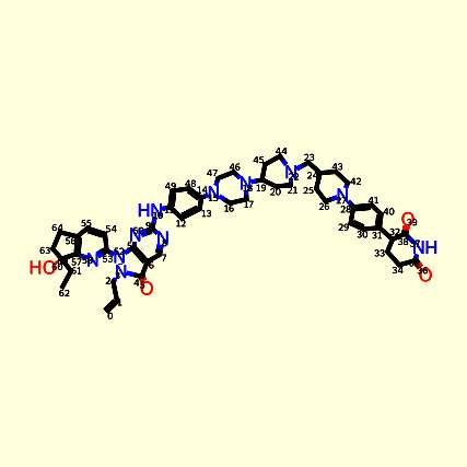 C=CCn1c(=O)c2cnc(Nc3ccc(N4CCN(C5CCN(CC6CCN(c7ccc(C8CCC(=O)NC8=O)cc7)CC6)CC5)CC4)cc3)nc2n1-c1ccc2c(n1)[C@@](O)(CC)CC2